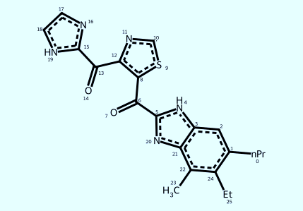 CCCc1cc2[nH]c(C(=O)c3s[c]nc3C(=O)c3ncc[nH]3)nc2c(C)c1CC